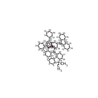 CC1(C)c2ccccc2-c2c(N(c3cccc4c3C(C)(C)c3ccccc3-4)c3cc(-n4c5ccccc5c5ccccc54)cc4c(-c5ccccc5)cccc34)cccc21